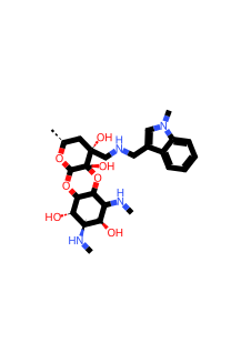 CNC1C2O[C@]3(O)C(OC2[C@@H](O)[C@H](NC)[C@@H]1O)O[C@H](C)C[C@@]3(O)CNCc1cn(C)c2ccccc12